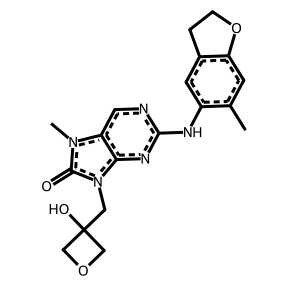 Cc1cc2c(cc1Nc1ncc3c(n1)n(CC1(O)COC1)c(=O)n3C)CCO2